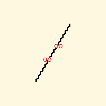 CCCCCCCCCCCC(=O)OCCCCCCOC(=O)CCCCCCCCCCC